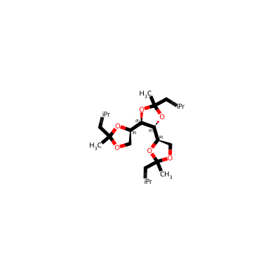 CC(C)CC1(C)O[C@H]([C@H]2COC(C)(CC(C)C)O2)[C@@H]([C@H]2COC(C)(CC(C)C)O2)O1